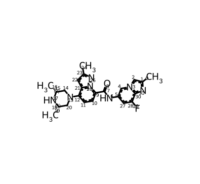 Cc1cn2cc(NC(=O)c3ccc(N4C[C@@H](C)N[C@@H](C)C4)c4cc(C)nn34)cc(F)c2n1